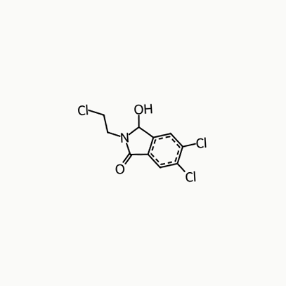 O=C1c2cc(Cl)c(Cl)cc2C(O)N1CCCl